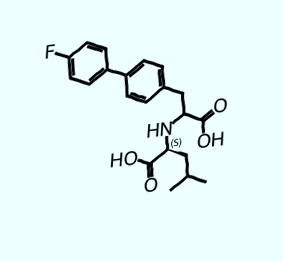 CC(C)C[C@H](NC(Cc1ccc(-c2ccc(F)cc2)cc1)C(=O)O)C(=O)O